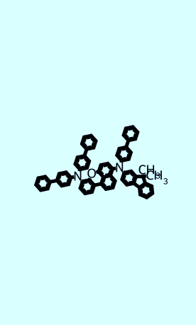 CC1(C)c2ccccc2-c2ccc(N(c3ccc(-c4ccccc4)cc3)c3ccc4c5c(cccc35)-c3cccc(N(c5ccc(-c6ccccc6)cc5)c5ccc(-c6ccccc6)cc5)c3O4)cc21